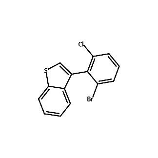 Clc1cccc(Br)c1-c1csc2ccccc12